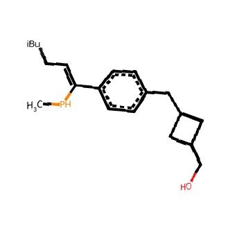 CCC(C)C/C=C(\PC)c1ccc(CC2CC(CO)C2)cc1